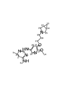 CNc1cc(C)nc(Nc2cnc(OC)c(OCCCN3CC4CC4C3)c2)n1